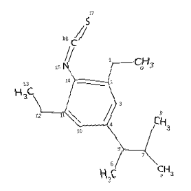 CCc1cc(C(C)C(C)C)cc(CC)c1N=C=S